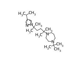 CC(C)c1cnn(C(C)(C)CCC(C)(C)N2CCCN(C(C)(C)C)CC2)c1